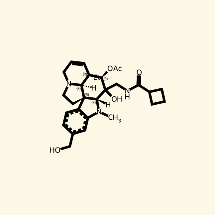 CC[C@]12C=CCN3CC[C@@]4(c5ccc(CO)cc5N(C)[C@H]4C(O)(CNC(=O)C4CCC4)[C@@H]1OC(C)=O)[C@@H]32